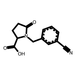 N#Cc1cccc(CN2C(=O)CCC2C(=O)O)c1